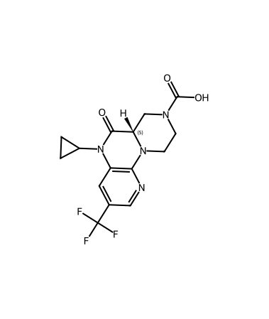 O=C(O)N1CCN2c3ncc(C(F)(F)F)cc3N(C3CC3)C(=O)[C@@H]2C1